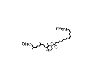 CCCCC/C=C\C/C=C\CCCCCCCC(=O)OC1CCC(C)(C)C(C=CC(C)=CC=CC(C)=CC=O)=C1C